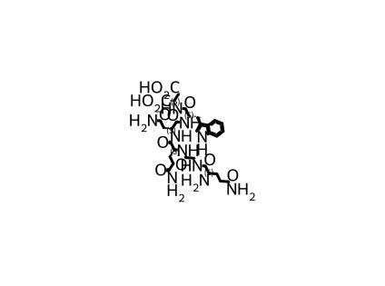 NC(=O)CC[C@H](NC(=O)CNC(=O)[C@@H](N)CCC(N)=O)C(=O)N[C@@H](CC(N)=O)C(=O)N[C@@H](Cc1c[nH]c2ccccc12)C(=O)N[C@@H](CC(=O)O)C(=O)O